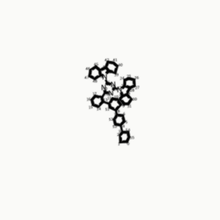 c1ccc(-c2ccc(-c3cccc(-c4ccccc4-c4nc(-n5c6ccccc6c6ccccc65)nc(-n5c6ccccc6c6ccccc65)n4)c3)cc2)cc1